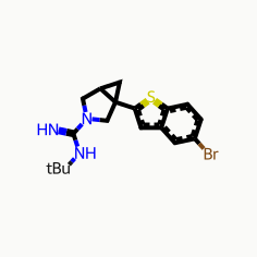 CC(C)(C)NC(=N)N1CC2CC2(c2cc3cc(Br)ccc3s2)C1